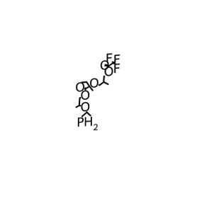 CCC(C)(OCC(C)COC(=O)C(F)(F)F)C(=O)OCC(C)OC(C)CP